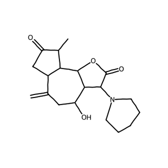 C=C1CC(O)C2C(OC(=O)C2N2CCCCC2)C2C(C)C(=O)CC12